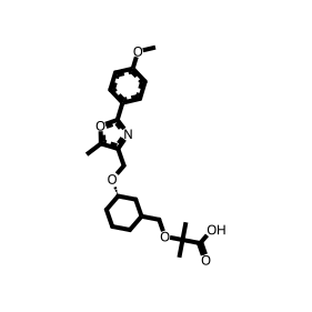 COc1ccc(-c2nc(CO[C@H]3CCCC(COC(C)(C)C(=O)O)C3)c(C)o2)cc1